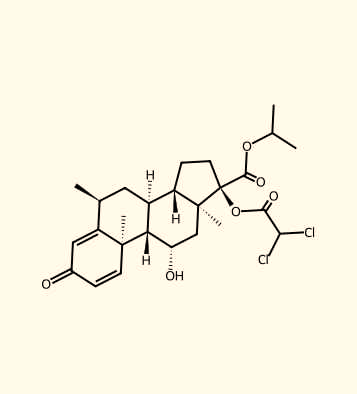 CC(C)OC(=O)[C@@]1(OC(=O)C(Cl)Cl)CC[C@H]2[C@@H]3C[C@H](C)C4=CC(=O)C=C[C@]4(C)[C@H]3[C@@H](O)C[C@@]21C